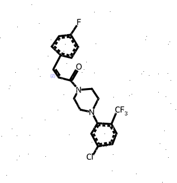 O=C(/C=C\c1ccc(F)cc1)N1CCN(c2cc(Cl)ccc2C(F)(F)F)CC1